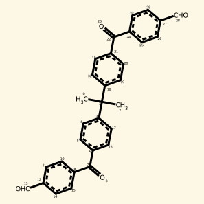 CC(C)(c1ccc(C(=O)c2ccc(C=O)cc2)cc1)c1ccc(C(=O)c2ccc(C=O)cc2)cc1